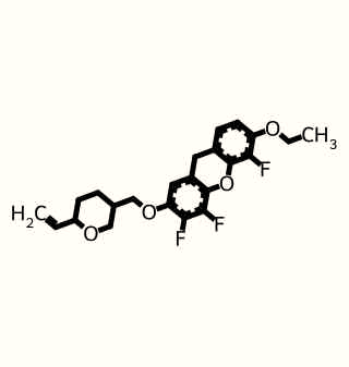 C=CC1CCC(COc2cc3c(c(F)c2F)Oc2c(ccc(OCC)c2F)C3)CO1